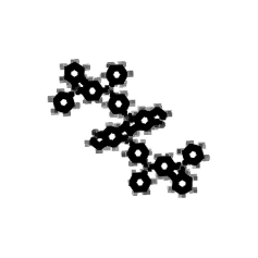 c1ccc(N(c2ccc(-n3c4cc5ccsc5cc4c4c3c3cc5sccc5cc3n4-c3ccc(N(c4ccccc4)c4ccc5c(c4)c4ccccc4n5-c4ccccc4)cc3)cc2)c2ccc3c(c2)c2ccccc2n3-c2ccccc2)cc1